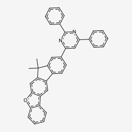 CC1(C)c2cc(-c3cc(-c4ccccc4)nc(-c4ccccc4)n3)ccc2-c2cc3c(cc21)oc1ccccc13